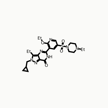 CCOc1ncc(S(=O)(=O)N2CCN(CC)CC2)cc1-c1nc2c(CC)n(CC3CC3)nc2c(=O)[nH]1